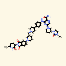 C=C1CCC(N2C(=O)c3ccc(N4CCC[C@H](CN5CCC(c6ccc(Nc7nc(N8CCC[C@@H](N9CCN(C)C9=O)C8)cnc7C(N)=O)cc6)CC5)C4)cc3C2=O)C(=O)N1